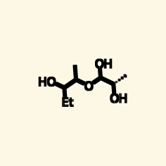 CCC(O)C(C)OC(O)[C@H](C)O